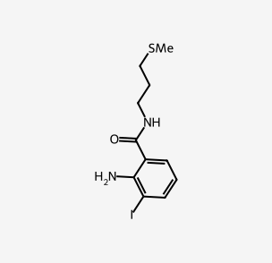 CSCCCNC(=O)c1cccc(I)c1N